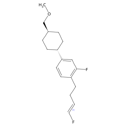 COC[C@H]1CC[C@H](c2ccc(CC/C=C/F)c(F)c2)CC1